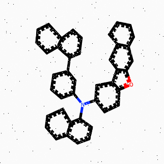 c1cc(-c2cccc3ccccc23)cc(N(c2ccc3oc4cc5ccccc5cc4c3c2)c2cccc3ccccc23)c1